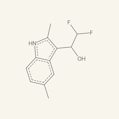 Cc1ccc2[nH]c(C)c(C(O)C(F)F)c2c1